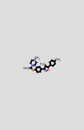 Cc1ccc(-c2onc(-c3ccc(OC(C=O)N4CCN(C)CC4)cc3)c2C)cc1